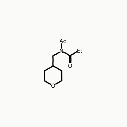 CCC(=O)N(CC1CCOCC1)C(C)=O